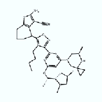 CCCCc1c(-c2nc(O[C@@H](C)[C@@H]3C[C@@H](F)CN3C)cc(N3C[C@@H](C)NC4(CC4)C3)n2)noc1[C@H]1CCCc2sc(N)c(C#N)c21